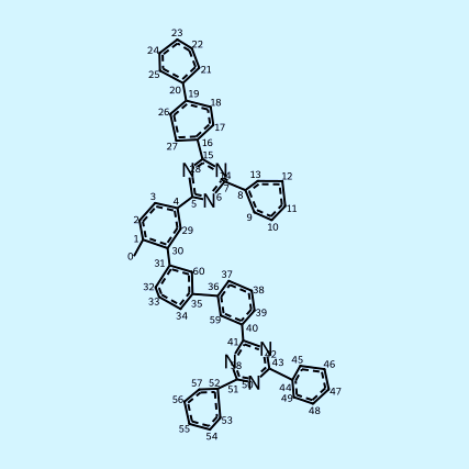 Cc1ccc(-c2nc(-c3ccccc3)nc(-c3ccc(-c4ccccc4)cc3)n2)cc1-c1cccc(-c2cccc(-c3nc(-c4ccccc4)nc(-c4ccccc4)n3)c2)c1